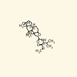 COC(=O)[C@@H](NC(=O)CC[C@@]1(C)C(=O)CC[C@@H]2[C@@H]1C(=O)C[C@]1(C)C(=O)CC[C@@H]21)C(C)C